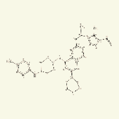 Cc1ccc(N[C@H]2CC[C@@H](Oc3nc(N4CCOCC4)cc4ncc(OC(C)c5cnc(N=O)n5C)cc34)CC2)nc1